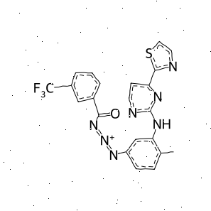 Cc1ccc(N=[N+]=NC(=O)c2cccc(C(F)(F)F)c2)cc1Nc1nccc(-c2nccs2)n1